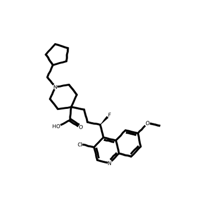 COc1ccc2ncc(Cl)c([C@H](F)CCC3(C(=O)O)CCN(CC4CCCC4)CC3)c2c1